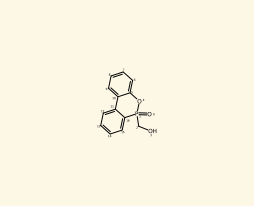 O=P1(CO)Oc2ccccc2-c2ccccc21